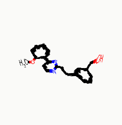 COc1ccccc1-c1ccnc(/C=C/c2cccc(CO)c2)n1